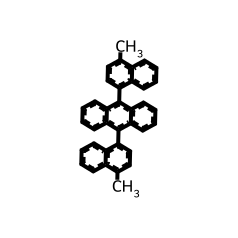 Cc1ccc(-c2c3ccccc3c(-c3ccc(C)c4ccccc34)c3ccccc23)c2ccccc12